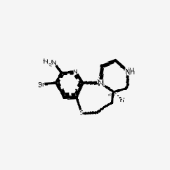 Nc1nc2c(cc1Br)SCC[C@@H]1CNCCN21